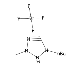 CCCCN1C#[N+]N(C)N1.F[B-](F)(F)F